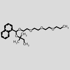 CCCOCCOCCOCCOC(OC(C)(C)CC)c1cccc2ccccc12